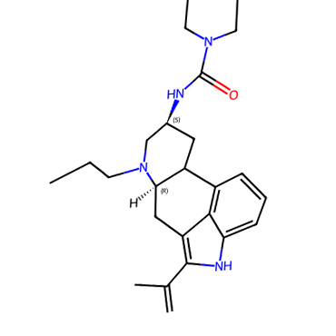 C=C(C)c1[nH]c2cccc3c2c1C[C@@H]1C3C[C@H](NC(=O)N(CC)CC)CN1CCC